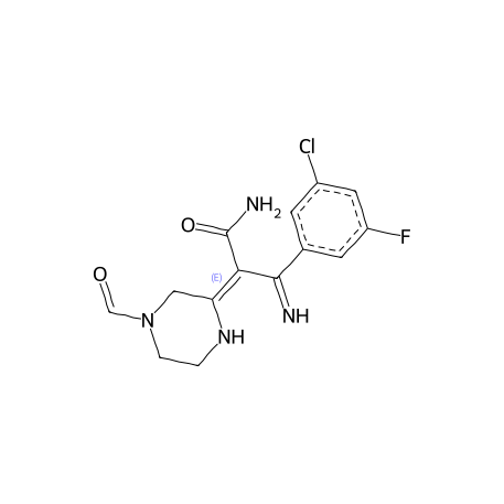 N=C(/C(C(N)=O)=C1/CN(C=O)CCN1)c1cc(F)cc(Cl)c1